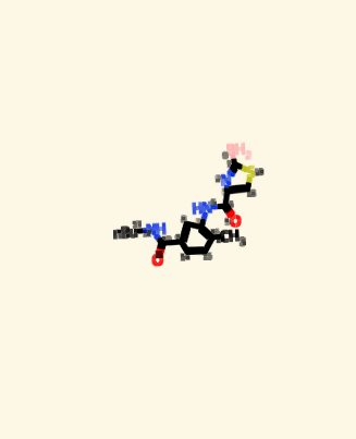 Bc1nc(C(=O)Nc2cc(C(=O)NCCCC)ccc2C)cs1